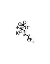 O=S(=O)([O-])C(F)(F)CCCC(F)(F)F.[K+]